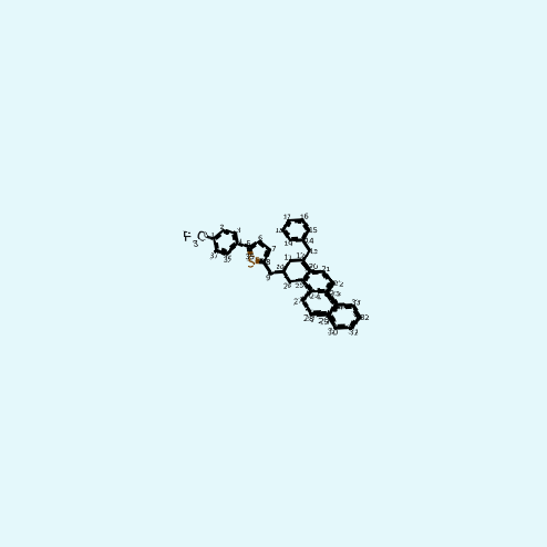 FC(F)(F)c1ccc(-c2ccc(CC3CC(Cc4ccccc4)=c4ccc5c(c4C3)CC=c3ccccc3=5)s2)cc1